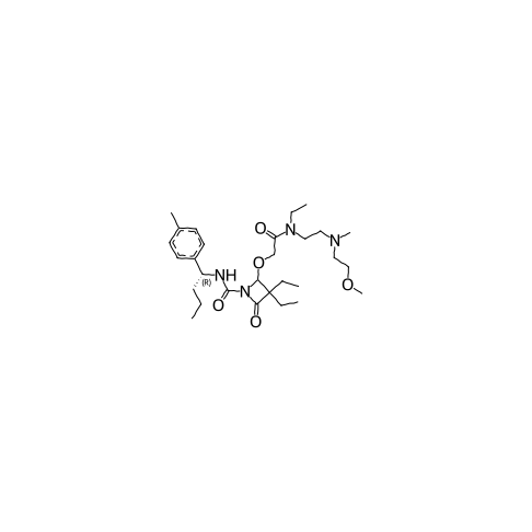 CCC[C@@H](NC(=O)N1C(=O)C(CC)(CC)C1OCC(=O)N(CC)CCN(C)CCOC)c1ccc(C)cc1